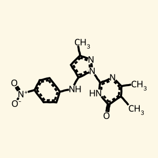 Cc1cc(Nc2ccc([N+](=O)[O-])cc2)n(-c2nc(C)c(C)c(=O)[nH]2)n1